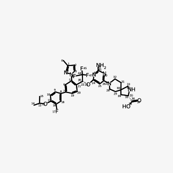 Cc1ccn(-c2cc(-c3ccc(OC(C)C)c(F)c3)ccc2[C@@H](Oc2cc(N3CCC4(CC3)CN[C@H](C(=O)O)C4)nc(N)n2)C(F)(F)F)n1